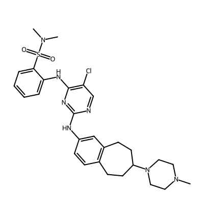 CN1CCN(C2CCc3ccc(Nc4ncc(Cl)c(Nc5ccccc5S(=O)(=O)N(C)C)n4)cc3CC2)CC1